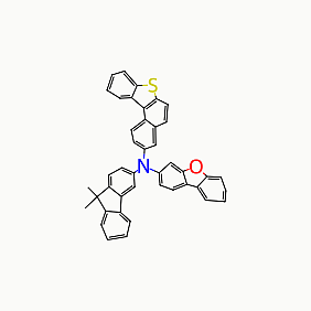 CC1(C)c2ccccc2-c2cc(N(c3ccc4c(ccc5sc6ccccc6c54)c3)c3ccc4c(c3)oc3ccccc34)ccc21